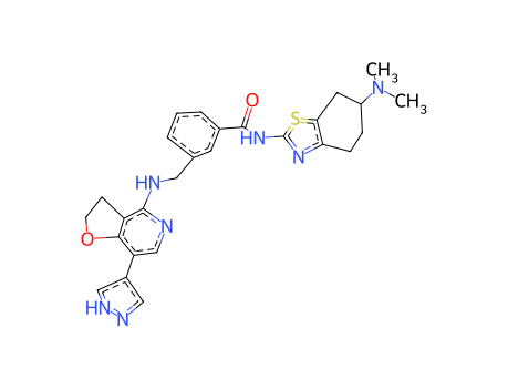 CN(C)C1CCc2nc(NC(=O)c3cccc(CNc4ncc(-c5cn[nH]c5)c5c4CCO5)c3)sc2C1